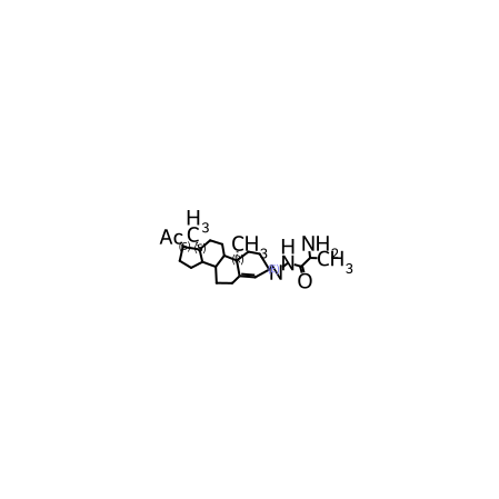 CC(=O)[C@H]1CCC2C3CCC4=C/C(=N/NC(=O)C(C)N)CC[C@]4(C)C3CC[C@@]21C